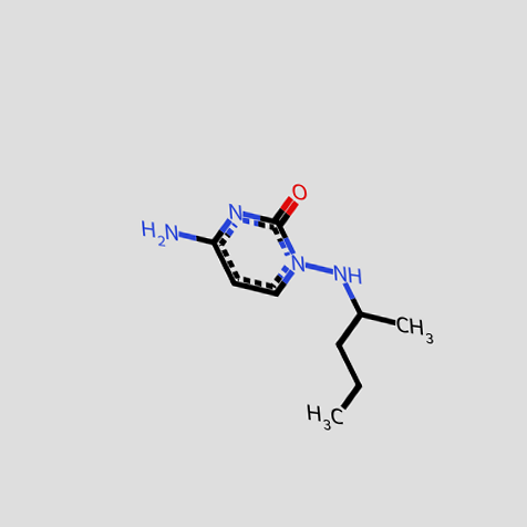 CCCC(C)Nn1ccc(N)nc1=O